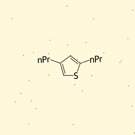 CCCc1csc(CCC)c1